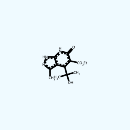 CCOC(=O)c1c(C(C)(C)O)c2c(C)n[nH]c2[nH]c1=O